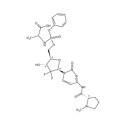 CC(NP(=O)(OC[C@H]1O[C@@H](n2ccc(NC(=O)[C@@H]3CCCN3C)nc2=O)C(F)(F)[C@@H]1O)Oc1ccccc1)C(=O)O